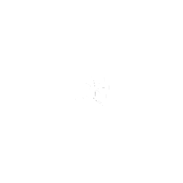 O=[N][Os-2]([Cl])([Cl])([Cl])([Cl])[Cl].[Cs+].[Cs+]